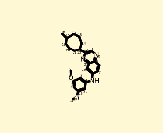 COc1cc(Nc2ccc3ncc(C4CCCC(C)CCC4)nc3c2)cc(OC)c1